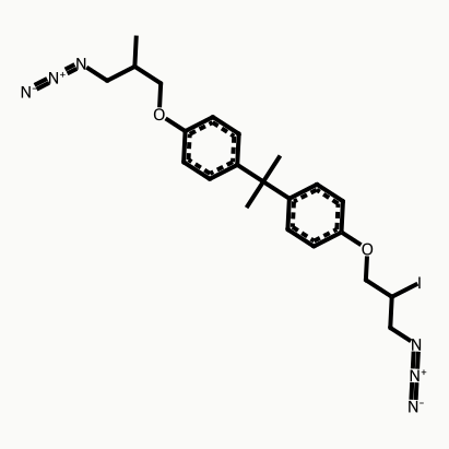 CC(CN=[N+]=[N-])COc1ccc(C(C)(C)c2ccc(OCC(I)CN=[N+]=[N-])cc2)cc1